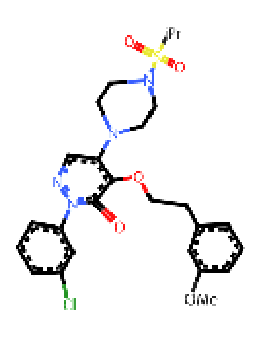 COc1cccc(CCOc2c(N3CCN(S(=O)(=O)C(C)C)CC3)cnn(-c3cccc(Cl)c3)c2=O)c1